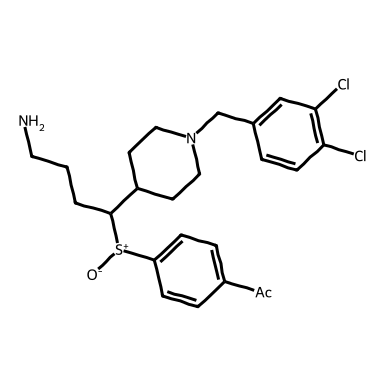 CC(=O)c1ccc([S+]([O-])C(CCCN)C2CCN(Cc3ccc(Cl)c(Cl)c3)CC2)cc1